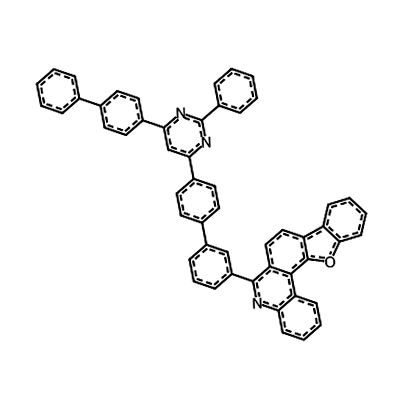 c1ccc(-c2ccc(-c3cc(-c4ccc(-c5cccc(-c6nc7ccccc7c7c6ccc6c8ccccc8oc67)c5)cc4)nc(-c4ccccc4)n3)cc2)cc1